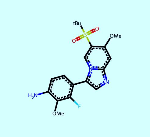 COc1cc2ncc(-c3ccc(N)c(OC)c3F)n2cc1S(=O)(=O)C(C)(C)C